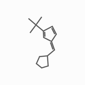 CC(C)(C)C1=CC(=CC2CCCC2)C=C1